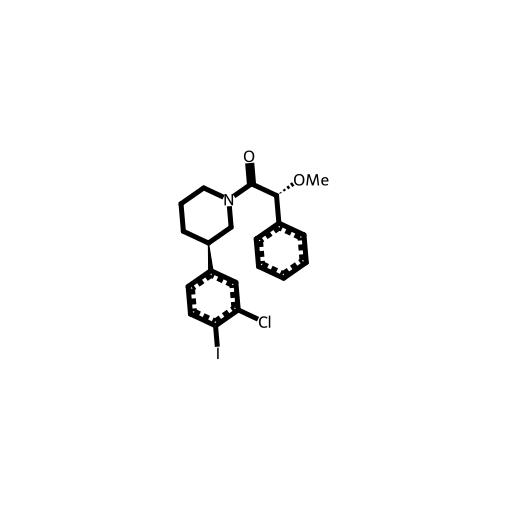 CO[C@@H](C(=O)N1CCC[C@H](c2ccc(I)c(Cl)c2)C1)c1ccccc1